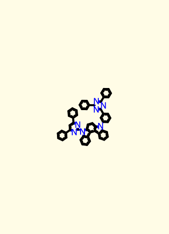 c1ccc(-c2cc(-c3ccccc3)nc(-n3c4ccccc4c4c5c6ccccc6n(-c6cccc(-c7nc(-c8ccccc8)nc(-c8ccccc8)n7)c6)c5ccc43)n2)cc1